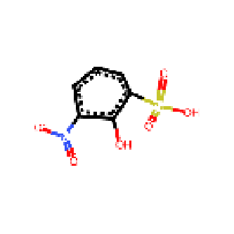 O=[N+]([O-])c1cccc(S(=O)(=O)O)c1O